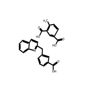 Cc1ccc(C(=O)O)cc1C(=O)O.O=C(O)c1cccc(Cc2ccc3ccccc3n2)c1